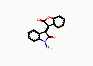 CN1C(=O)/C(=C2/C(=O)Oc3ccccc32)c2ccccc21